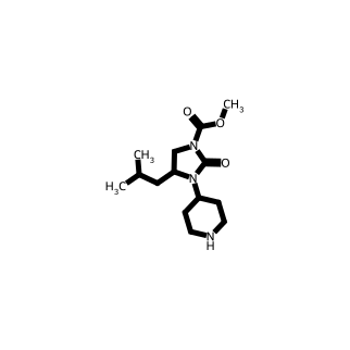 COC(=O)N1CC(CC(C)C)N(C2CCNCC2)C1=O